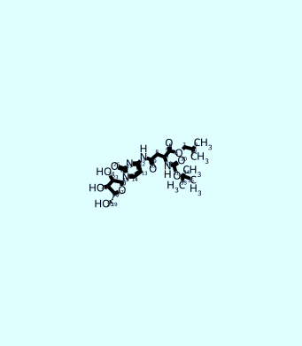 CC(C)COC(=O)C(CC(=O)Nc1ccn([C@@H]2O[C@H](CO)C(O)C2O)c(=O)n1)NC(=O)OC(C)(C)C